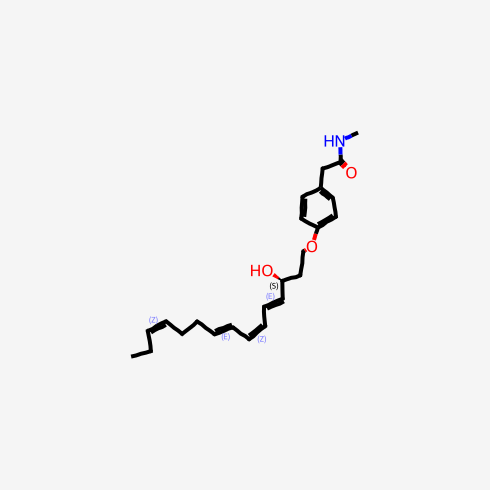 CC/C=C\CC/C=C/C=C\C=C\[C@@H](O)CCOc1ccc(CC(=O)NC)cc1